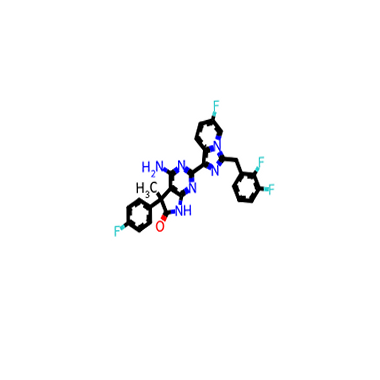 CC1(c2ccc(F)cc2)C(=O)Nc2nc(-c3nc(Cc4cccc(F)c4F)n4cc(F)ccc34)nc(N)c21